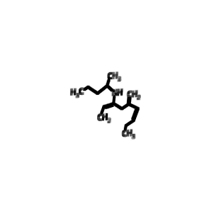 C=C(/C=C\CC)C/C(=C\C)NC(C)CCC